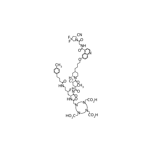 Cc1ccc(CCCC(=O)NCCC(F)C[C@H](NC(=O)CN2CCN(CC(=O)O)CCN(CC(=O)O)CCN(CC(=O)O)CC2)C(=O)NC(=O)C(C)CC(C)C(=O)N2CCC(CCCCOc3ccc4nccc(C(=O)NCC(=O)N5CC(F)(F)C[C@@H]5C#N)c4c3)CC2)cc1